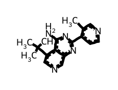 Cc1cnccc1-c1nc(N)c2c(C(C)(C)C)cncc2n1